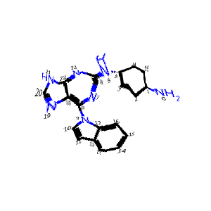 N[C@H]1CC[C@H](Nc2nc(-n3ccc4ccccc43)c3nc[nH]c3n2)CC1